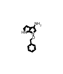 Nc1cn(OCc2ccccc2)c2[nH]ccc12